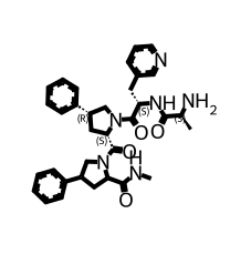 CNC(=O)C1CC(c2ccccc2)CN1C(=O)[C@@H]1C[C@H](c2ccccc2)CN1C(=O)[C@H](Cc1cccnc1)NC(=O)[C@H](C)N